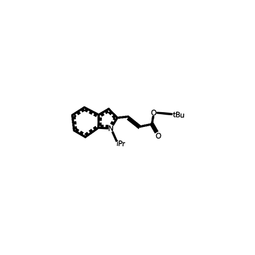 CC(C)n1c(C=CC(=O)OC(C)(C)C)cc2ccccc21